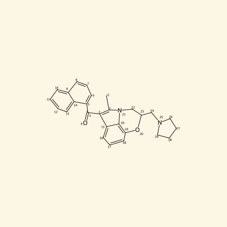 Cc1c(C(=O)c2cccc3ccccc23)c2cccc3c2n1CC(CN1CCCC1)O3